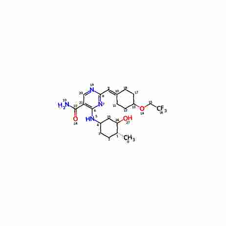 C[C@@H]1CCC(Nc2nc(C=C3CCC(OCC(F)(F)F)CC3)ncc2C(N)=O)CC1O